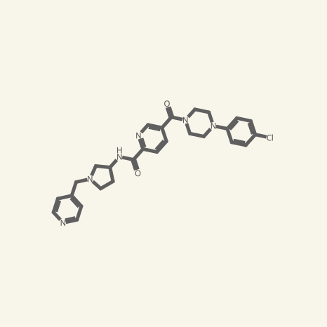 O=C(NC1CCN(Cc2ccncc2)C1)c1ccc(C(=O)N2CCN(c3ccc(Cl)cc3)CC2)cn1